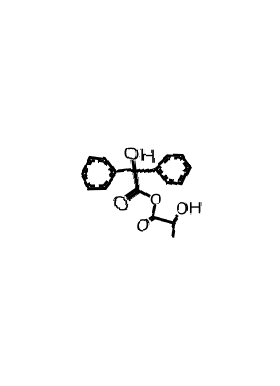 CC(O)C(=O)OC(=O)C(O)(c1ccccc1)c1ccccc1